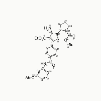 CCOC(=O)c1c(-c2ccc(C(=O)Nc3cc(OC)ccn3)cc2)nc(C2CCCN2C(=O)OC(C)(C)C)n1N